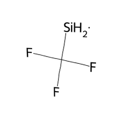 FC(F)(F)[SiH2]